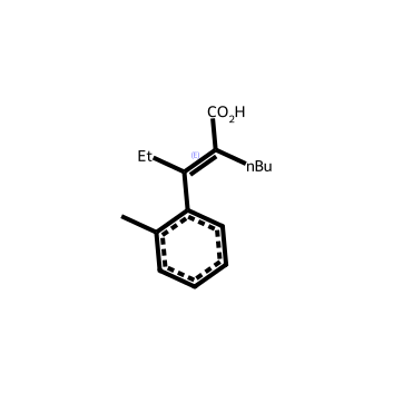 CCCC/C(C(=O)O)=C(/CC)c1ccccc1C